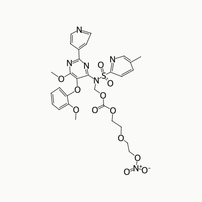 COc1ccccc1Oc1c(OC)nc(-c2ccncc2)nc1N(COC(=O)OCCOCCO[N+](=O)[O-])S(=O)(=O)c1ccc(C)cn1